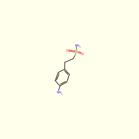 Nc1ccc(CCS(N)(=O)=O)cc1